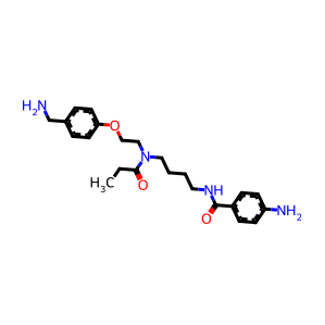 CCC(=O)N(CCCCNC(=O)c1ccc(N)cc1)CCOc1ccc(CN)cc1